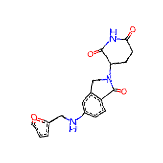 O=C1CCC(N2Cc3cc(NCc4ccco4)ccc3C2=O)C(=O)N1